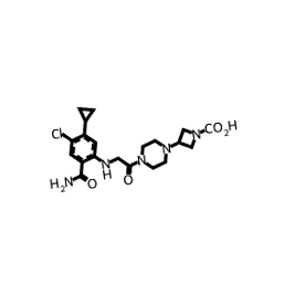 NC(=O)c1cc(Cl)c(C2CC2)cc1NCC(=O)N1CCN(C2CN(C(=O)O)C2)CC1